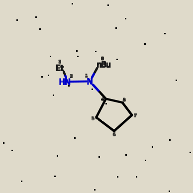 CCCCN(NCC)C1CCCC1